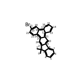 CC1(C)c2ccccc2-c2cc3c4ccccc4c4cc(Br)ccc4c3cc21